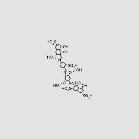 O=S(=O)(O)c1cc(O)c2c(O)c(/N=N/c3ccc(/N=N/c4cc(OCCO)c(/N=N/c5c(S(=O)(=O)O)cc6cc(S(=O)(=O)O)cc(O)c6c5O)cc4OCCO)c(S(=O)(=O)O)c3)c(S(=O)(=O)O)cc2c1